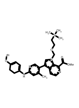 COC(=O)c1nccc2c(-c3cnc(NC4=CC=C(OC(C)C)CC4)cc3C)cn(COCC[Si](C)(C)C)c12